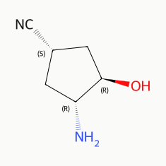 N#C[C@H]1C[C@@H](N)[C@H](O)C1